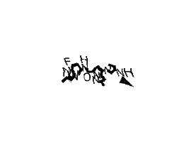 Cc1cn2cc(NC(=O)c3ccc(N4CC[C@@H](NC5CC5)C4)c4cc(C)nn34)cc(F)c2n1